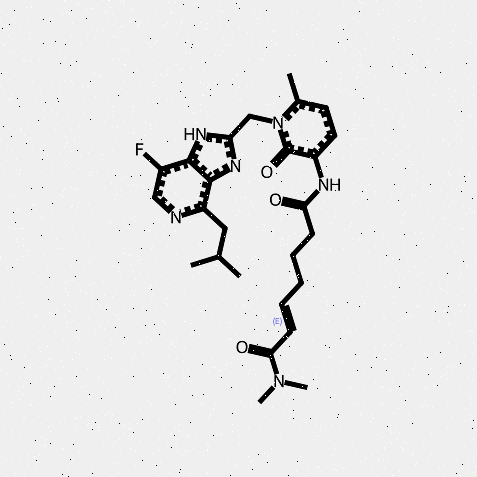 Cc1ccc(NC(=O)CCC/C=C/C(=O)N(C)C)c(=O)n1Cc1nc2c(CC(C)C)ncc(F)c2[nH]1